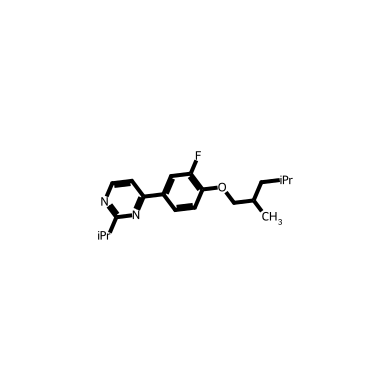 CC(C)CC(C)COc1ccc(-c2ccnc(C(C)C)n2)cc1F